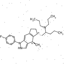 CCCC(C[C@H]1CCC2=C1[C@@H](C)C1=CNN(c3ccc(F)cc3)C1=C2)N(CCC)CCC